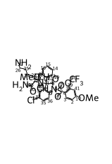 COc1ccc(S(=O)(=O)N2C(=O)C(c3ccccc3OC)([N+](C)(C)[C@@H](CCCCN)C(N)=O)c3cc(Cl)ccc32)c(OC(F)(F)F)c1